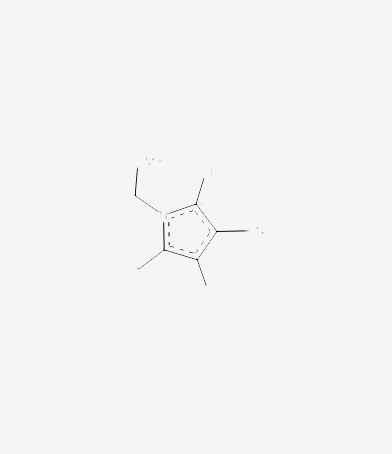 COCn1c(Cl)c(Cl)c(C#N)c1Cl